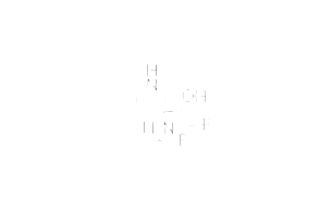 NC1(C(O)C(F)F)CCCNC1